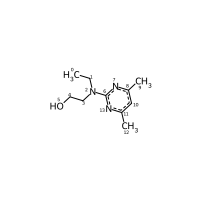 CCN(CCO)c1nc(C)cc(C)n1